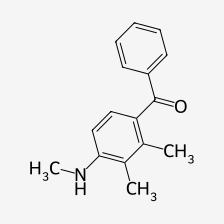 CNc1ccc(C(=O)c2ccccc2)c(C)c1C